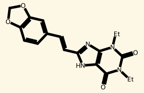 CCn1c(=O)c2[nH]c(/C=C/c3ccc4c(c3)OCO4)nc2n(CC)c1=O